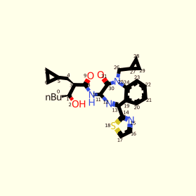 CCCC[C@H](O)[C@@H](CC1CC1)C(=O)NC1N=C(c2nccs2)c2ccccc2N(CC2CC2)C1=O